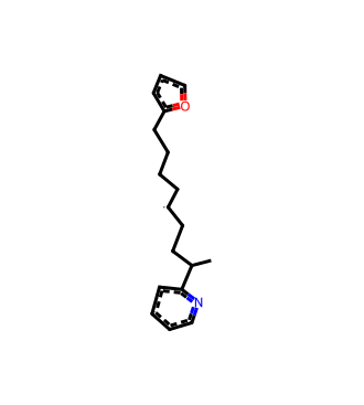 CC(CC[CH]CCCCc1ccco1)c1ccccn1